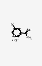 Cl.N=C(N)c1cncc(Br)c1